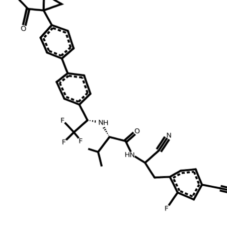 CC(C)[C@H](N[C@@H](c1ccc(-c2ccc(C3(C(=O)O)CC3)cc2)cc1)C(F)(F)F)C(=O)NC(C#N)Cc1ccc(C#N)cc1F